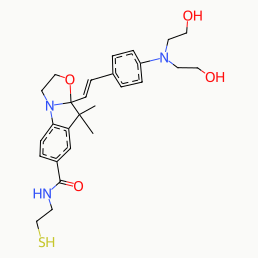 CC1(C)c2cc(C(=O)NCCS)ccc2N2CCOC21/C=C/c1ccc(N(CCO)CCO)cc1